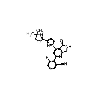 CC1(C)COC(c2ccn(-c3cc(-c4c(F)cccc4C#N)nc4c3C(=O)NC4)n2)=N1